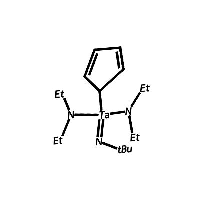 CC[N](CC)[Ta](=[N]C(C)(C)C)([CH]1C=CC=C1)[N](CC)CC